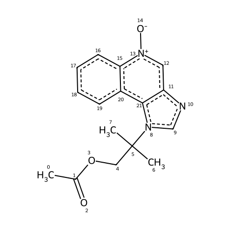 CC(=O)OCC(C)(C)n1cnc2c[n+]([O-])c3ccccc3c21